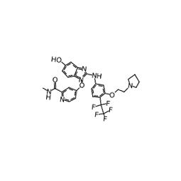 CNC(=O)c1cc(On2c(Nc3ccc(C(F)(F)C(F)(F)F)c(OCCN4CCCC4)c3)nc3cc(O)ccc32)ccn1